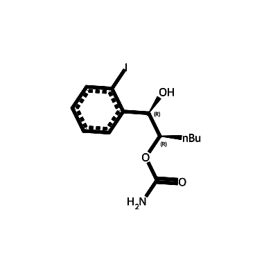 CCCC[C@@H](OC(N)=O)[C@H](O)c1ccccc1I